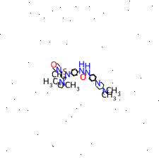 CC1COCCN1C1=CC(N2[C@H](C)CC[C@@H]2C)=CN(c2ccc(NC(=O)Nc3ccc(N4CCC(N(C)C)CC4)cc3)cc2)S1